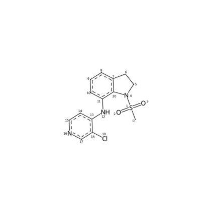 CS(=O)(=O)N1CCc2cccc(Nc3ccncc3Cl)c21